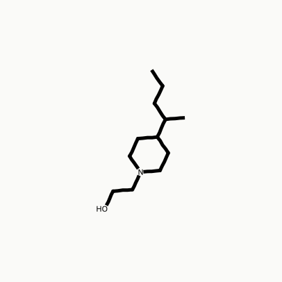 CCCC(C)C1CCN(CCO)CC1